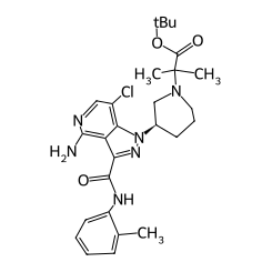 Cc1ccccc1NC(=O)c1nn([C@@H]2CCCN(C(C)(C)C(=O)OC(C)(C)C)C2)c2c(Cl)cnc(N)c12